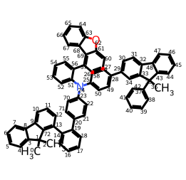 CC1(C)c2ccccc2-c2cccc(-c3ccccc3-c3ccc(N(c4ccc(-c5ccc6c(c5)C(C)(c5ccccc5)c5ccccc5-6)cc4)c4ccccc4-c4cccc5oc6ccccc6c45)cc3)c21